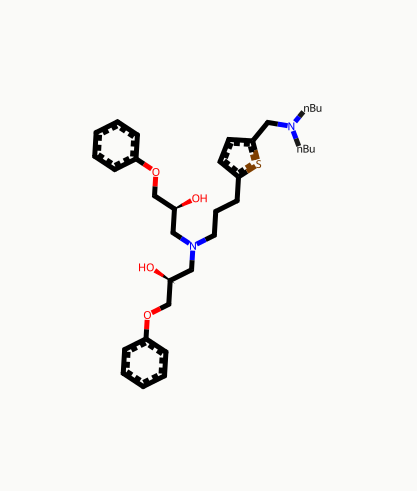 CCCCN(CCCC)Cc1ccc(CCCN(C[C@H](O)COc2ccccc2)C[C@H](O)COc2ccccc2)s1